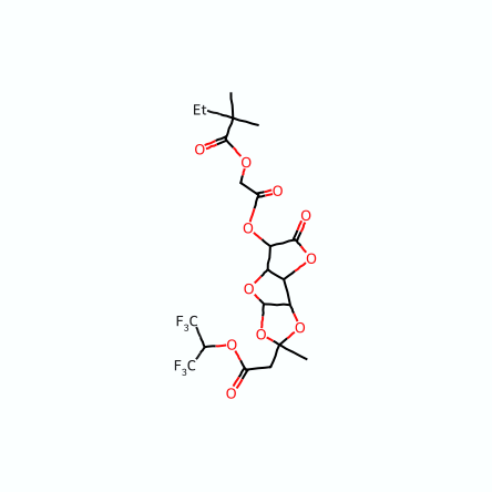 CCC(C)(C)C(=O)OCC(=O)OC1C(=O)OC2C3OC(C)(CC(=O)OC(C(F)(F)F)C(F)(F)F)OC3OC12